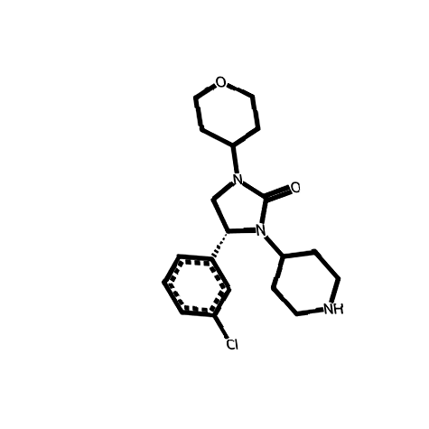 O=C1N(C2CCOCC2)C[C@@H](c2cccc(Cl)c2)N1C1CCNCC1